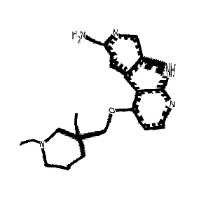 CN1CCCC(C)(COc2ccnc3[nH]c4cnc(N)cc4c23)C1